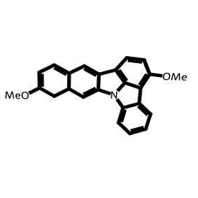 COC1=CC=C2C=c3c(n4c5ccccc5c5c(OC)ccc3c54)=CC2C1